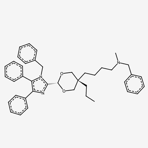 CCC[C@]1(CCCCN(C)Cc2ccccc2)CO[C@@H](c2nc(-c3ccccc3)c(-c3ccccc3)n2Cc2ccccc2)OC1